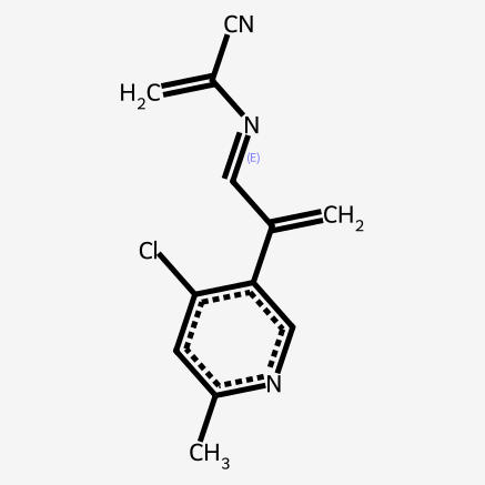 C=C(C#N)/N=C/C(=C)c1cnc(C)cc1Cl